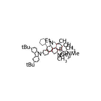 CCN(CC=C(C)[C@H](C)B(c1ccc(-c2ccc(-n3c4ccc(C(C)(C)C)cc4c4cc(C(C)(C)C)ccc43)cc2)cc1N(C)C)C(C)[C@@H](C)NC)c1c(C2CCCCC2)cccc1C1CCCCC1